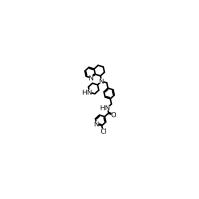 O=C(NCc1ccc(CN(C2CCNCC2)C2CCCc3cccnc32)cc1)c1ccnc(Cl)c1